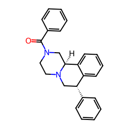 O=C(c1ccccc1)N1CCN2C[C@@H](c3ccccc3)c3ccccc3[C@@H]2C1